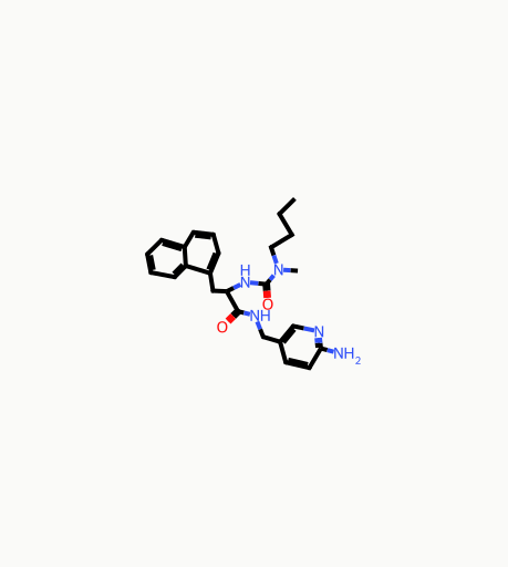 CCCCN(C)C(=O)NC(Cc1cccc2ccccc12)C(=O)NCc1ccc(N)nc1